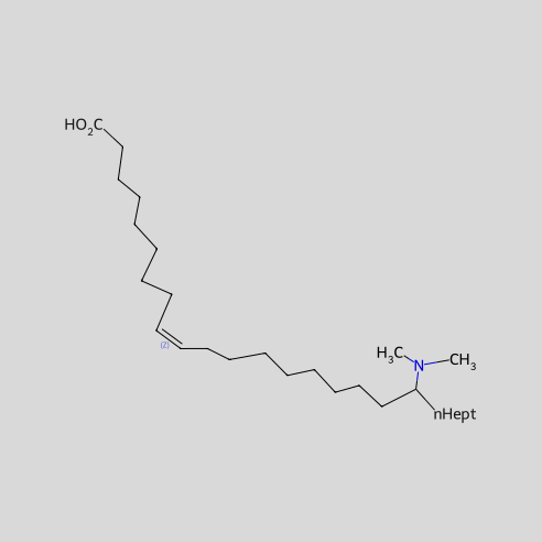 CCCCCCCC(CCCCCCCC/C=C\CCCCCCCC(=O)O)N(C)C